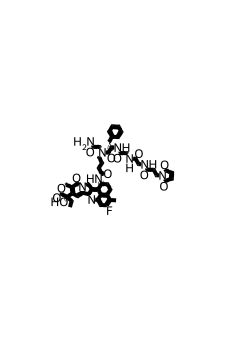 CC[C@@]1(O)C(=O)OCc2c1cc1n(c2=O)Cc2c-1nc1cc(F)c(C)c3c1c2[C@@H](NC(=O)CCCN(CC(N)=O)C(=O)[C@H](Cc1ccccc1)NC(=O)CNC(=O)CNC(=O)CCN1C(=O)C=CC1=O)CC3